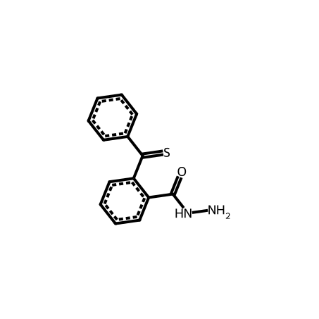 NNC(=O)c1ccccc1C(=S)c1ccccc1